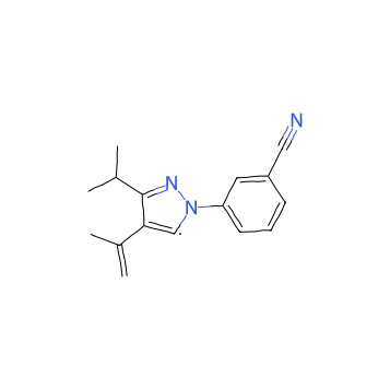 C=C(C)c1[c]n(-c2cccc(C#N)c2)nc1C(C)C